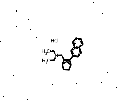 CCN(CC)CC1=C(c2ccc3ccccc3c2)C2CCC1C2.Cl